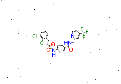 O=C(NCc1cc(C(F)(F)F)ccn1)c1ccc(NS(=O)(=O)CCc2cccc(Cl)c2Cl)cc1